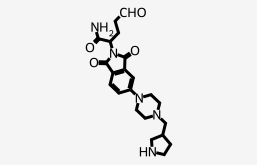 NC(=O)C(CCC=O)N1C(=O)c2ccc(N3CCN(CC4CCNC4)CC3)cc2C1=O